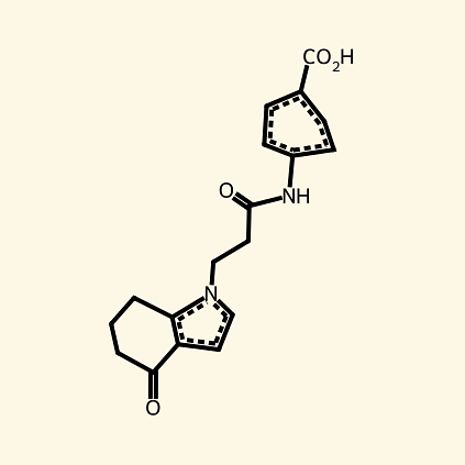 O=C(CCn1ccc2c1CCCC2=O)Nc1ccc(C(=O)O)cc1